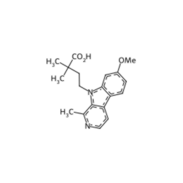 COc1ccc2c3ccnc(C)c3n(CCC(C)(C)C(=O)O)c2c1